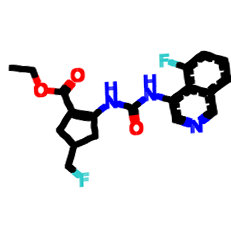 CCOC(=O)C1=C(NC(=O)Nc2cncc3cccc(F)c23)CC(CF)C1